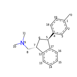 Cc1ccc([C@@H]2C[C@@H](CN(C)C)c3ccccc32)cc1